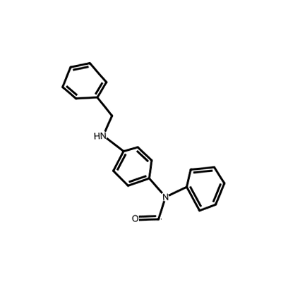 O=[C]N(c1ccccc1)c1ccc(NCc2ccccc2)cc1